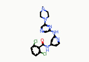 CN1CCN(c2cncc(Nc3cc(NC(=O)c4c(Cl)cccc4Cl)ccn3)n2)CC1